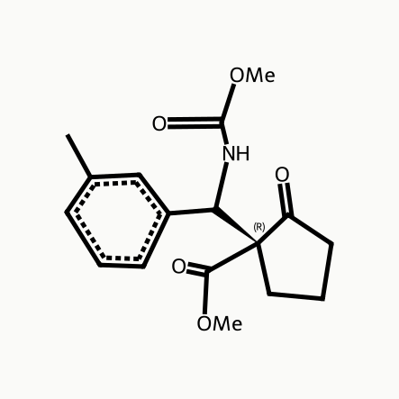 COC(=O)NC(c1cccc(C)c1)[C@]1(C(=O)OC)CCCC1=O